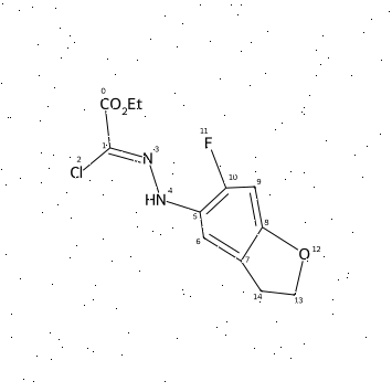 CCOC(=O)/C(Cl)=N/Nc1cc2c(cc1F)OCC2